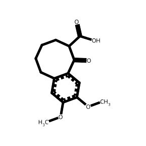 COc1cc2c(cc1OC)C(=O)C(C(=O)O)CCCC2